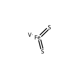 [S]=[Fe]=[S].[V]